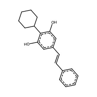 Oc1cc(C=Cc2ccccc2)cc(O)c1C1CCCCC1